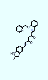 CC1Cc2cc(/C=C/C(=O)CC(=O)/C=C/c3ccccc3OCc3ccccn3)ccc2N1